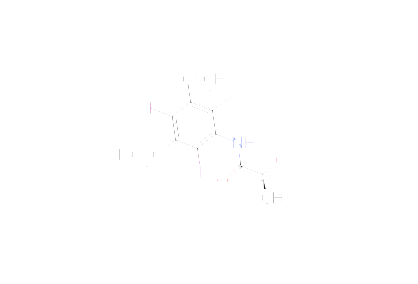 C[C@H](O)C(=O)Nc1c(I)c(C(=O)O)c(I)c(C(=O)O)c1I